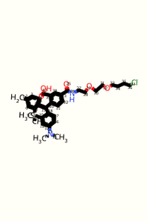 C=c1ccc2c(c1)[Si](C)(C)c1cc(N(C)C)ccc1C=2c1ccc(C(=O)NCCOCCOCCCCCl)cc1C(=O)O